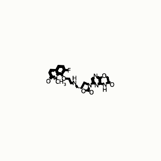 Cn1c(=O)ccc2ccc(F)c(OCCNC[C@@H]3CN(c4cnc5c(n4)NC(=O)CO5)C(=O)O3)c21